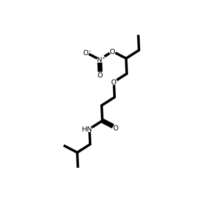 CCC(COCCC(=O)NCC(C)C)O[N+](=O)[O-]